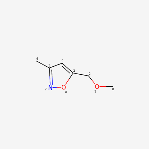 COCc1[c]c(C)no1